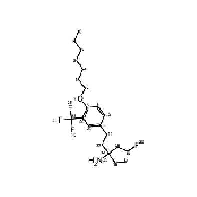 CCCCCCCOc1ccc(CCC(N)(CC)CCF)cc1C(F)(F)F